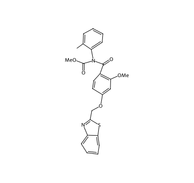 COC(=O)N(C(=O)c1ccc(OCc2nc3ccccc3s2)cc1OC)c1ccccc1C